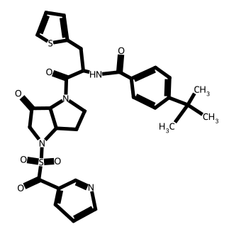 CC(C)(C)c1ccc(C(=O)NC(Cc2cccs2)C(=O)N2CCC3C2C(=O)CN3S(=O)(=O)C(=O)c2cccnc2)cc1